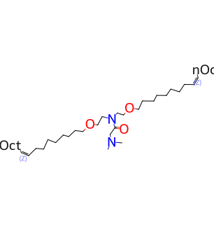 CCCCCCCC/C=C\CCCCCCCCOCCN(CCOCCCCCCCC/C=C\CCCCCCCC)C(=O)CN(C)C